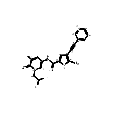 O=C(Nc1cc(F)c(=O)n(CC(F)F)c1)c1cc(C#Cc2cccnc2)c(Cl)s1